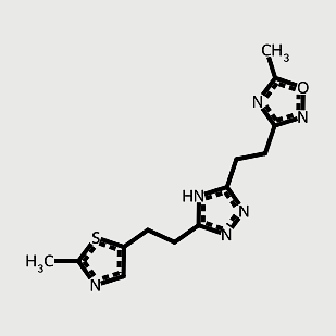 Cc1nc(CCc2nnc(CCc3cnc(C)s3)[nH]2)no1